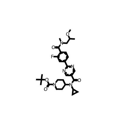 COC(C)CN(C)C(=O)c1ccc(-c2ncc(C(=O)N(C3CC3)C3CCN(C(=O)OC(C)(C)C)CC3)cn2)cc1F